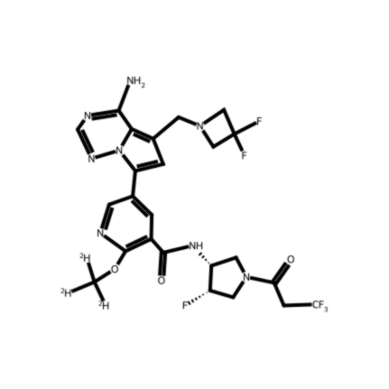 [2H]C([2H])([2H])Oc1ncc(-c2cc(CN3CC(F)(F)C3)c3c(N)ncnn23)cc1C(=O)N[C@@H]1CN(C(=O)CC(F)(F)F)C[C@@H]1F